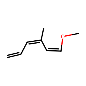 C=C/C=C(C)\C=C/OC